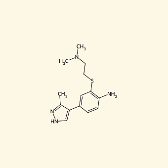 Cc1n[nH]cc1-c1ccc(N)c(SCCN(C)C)c1